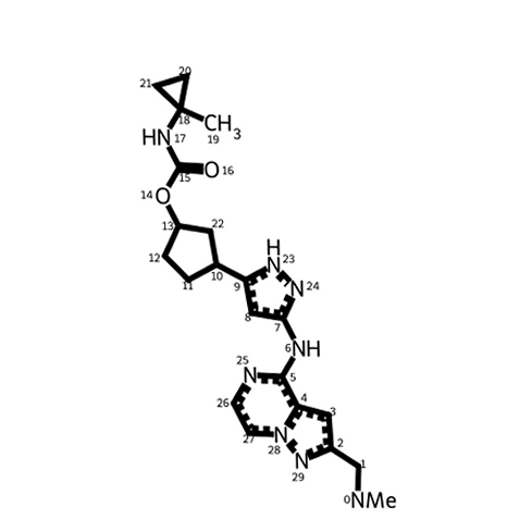 CNCc1cc2c(Nc3cc(C4CCC(OC(=O)NC5(C)CC5)C4)[nH]n3)nccn2n1